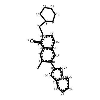 Cc1cc2c(=O)n(CC3CCCCC3)ccc2cc1-c1nc2ccccn2n1